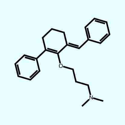 CN(C)CCCOC1=C(c2ccccc2)CCCC1=Cc1ccccc1